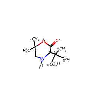 CCN1CC(C)(C)OC(=O)C1C(C)(C)C(=O)O